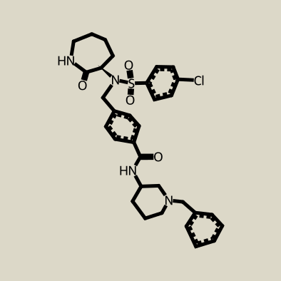 O=C(NC1CCCN(Cc2ccccc2)C1)c1ccc(CN([C@@H]2CCCCNC2=O)S(=O)(=O)c2ccc(Cl)cc2)cc1